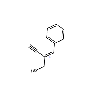 C#C/C(=C\c1ccccc1)CO